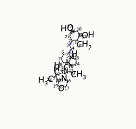 C=C1/C(=C\C=C2/CCC[C@]3(C)[C@@H](C(C)CN4CCOC[C@@H]4C(C)C)CC[C@@H]23)C[C@@H](O)C[C@@H]1O